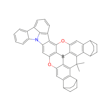 CC1(C)c2c3c(cc4c2C2CCC4CC2)Oc2cc4c(c5c2B3c2c(cc3c(c21)C1CCC3CC1)O5)c1cccc2c3ccccc3n4c21